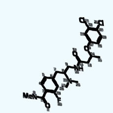 CNC(=O)c1ccc(CC(CNC(=O)C[C@H](C)Oc2ccc(Cl)c(Cl)c2)N(C)C)cc1F